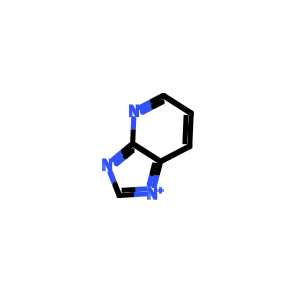 C1=[N+]=c2cccnc2=N1